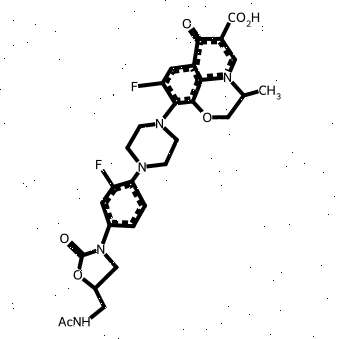 CC(=O)NCC1CN(c2ccc(N3CCN(c4c(F)cc5c(=O)c(C(=O)O)cn6c5c4OCC6C)CC3)c(F)c2)C(=O)O1